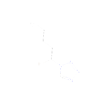 O=C(O)CCCC(S)n1cnnn1